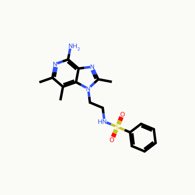 Cc1nc(N)c2nc(C)n(CCNS(=O)(=O)c3ccccc3)c2c1C